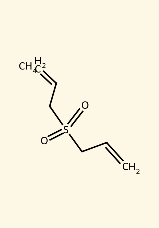 C.C=CCS(=O)(=O)CC=C